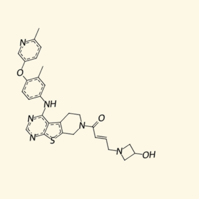 Cc1ccc(Oc2ccc(Nc3ncnc4sc5c(c34)CCN(C(=O)/C=C/CN3CC(O)C3)C5)cc2C)cn1